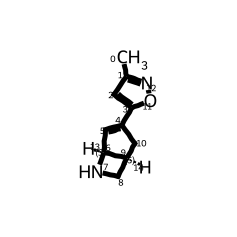 Cc1cc(C2=C[C@@H]3NC[C@@H]3C2)on1